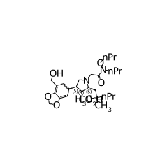 CCCON(CCC)C(=O)CN1C[C@H](c2cc(CO)c3c(c2)OCO3)[C@@H](C(=O)O)[C@@H]1CC(C)(C)CCC